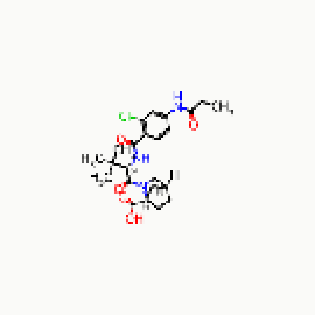 CCC(=O)Nc1ccc(C(=O)N[C@H](C(=O)N2C[C@@H]3CC[C@@]2(C(=O)O)C3)C(C)(C)C)c(Cl)c1